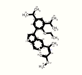 CCOc1c(-c2csc3cnc(/C(C)=C\C(=O)OC)cc23)cc(C(C)C)cc1C(C)C